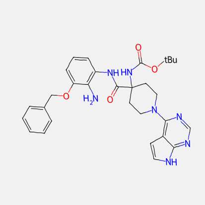 CC(C)(C)OC(=O)NC1(C(=O)Nc2cccc(OCc3ccccc3)c2N)CCN(c2ncnc3[nH]ccc23)CC1